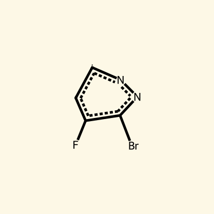 Fc1c[c]nnc1Br